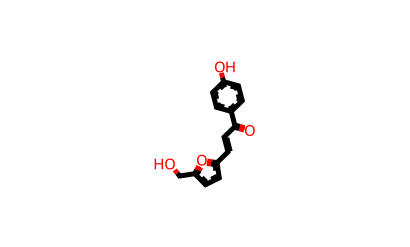 O=C(/C=C/c1ccc(CO)o1)c1ccc(O)cc1